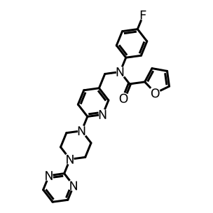 O=C(c1ccco1)N(Cc1ccc(N2CCN(c3ncccn3)CC2)nc1)c1ccc(F)cc1